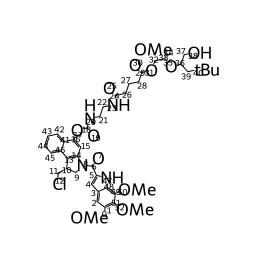 COc1cc2cc(C(=O)N3C[C@@H](CCl)c4c3cc(OC(=O)NCCNC(=O)CCCC(=O)OCC(OC)OC(CO)CC(C)(C)C)c3ccccc43)[nH]c2c(OC)c1OC